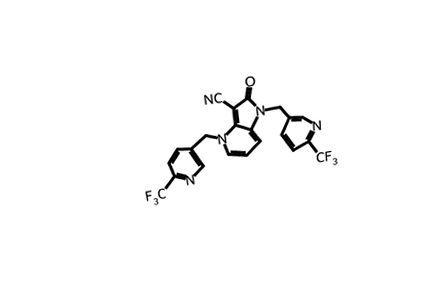 N#Cc1c2n(Cc3ccc(C(F)(F)F)nc3)cccc-2n(Cc2ccc(C(F)(F)F)nc2)c1=O